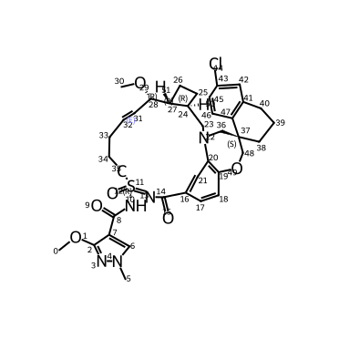 COc1nn(C)cc1C(=O)N[S@@]1(=O)=NC(=O)c2ccc3c(c2)N(C[C@@H]2CC[C@H]2[C@@H](OC)/C=C/CCC1)C[C@@]1(CCCc2cc(Cl)ccc21)CO3